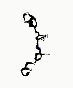 COc1cc(OCC2=CCCC=N2)ccc1/C=C/c1cc(/C=C/c2ccc3c(c2)OCO3)[nH]n1